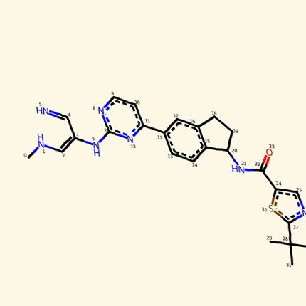 CN/C=C(\C=N)Nc1nccc(-c2ccc3c(c2)CCC3NC(=O)c2cnc(C(C)(C)C)s2)n1